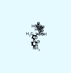 CC1C[C@H](n2ccc(N)nc2=O)O[C@@H]1COP(=O)(O)OP(=O)(O)OP(=O)(O)O